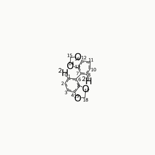 [2H]c1ccc2c(c1-c1c([2H])ccc3c1OCO3)OCO2